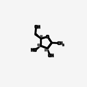 CC1O[C@H](CO)[C@@H](O)[C@H]1O